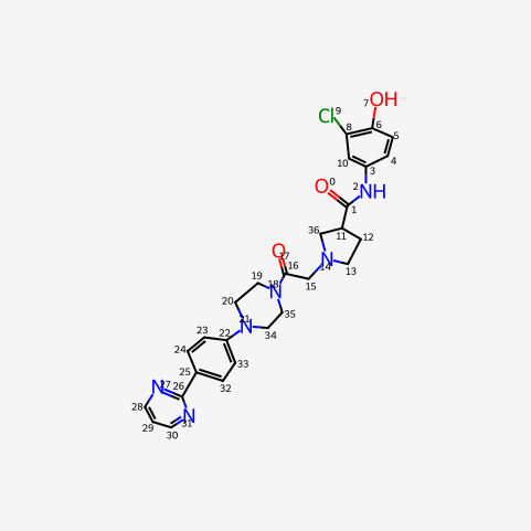 O=C(Nc1ccc(O)c(Cl)c1)C1CCN(CC(=O)N2CCN(c3ccc(-c4ncccn4)cc3)CC2)C1